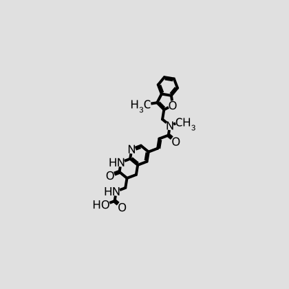 Cc1c(CN(C)C(=O)/C=C/c2cnc3c(c2)CC(CNC(=O)O)C(=O)N3)oc2ccccc12